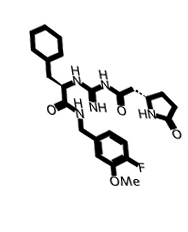 COc1cc(CNC(=O)[C@@H](CC2CCCCC2)NC(=N)NC(=O)C[C@@H]2CCC(=O)N2)ccc1F